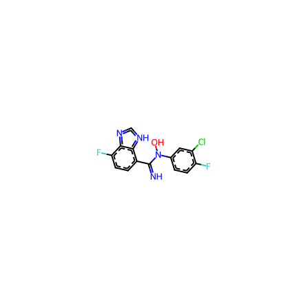 N=C(c1ccc(F)c2nc[nH]c12)N(O)c1ccc(F)c(Cl)c1